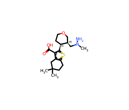 CN(N)C[C@@H]1COCC[C@@H]1c1sc2c(c1C(=O)O)CC(C)(C)CC2